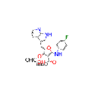 CC(C)COC(=O)C1=C(Nc2ccc(F)cc2)OC(=Cc2c[nH]c3ncccc23)C1=O.O=CO